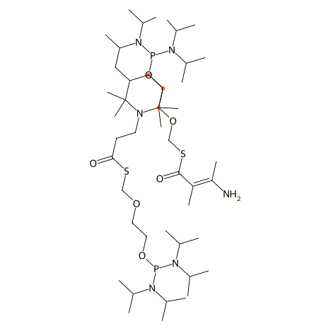 C/C(N)=C(/C)C(=O)SCOCCOP(N(C(C)C)C(C)C)N(C(C)C)C(C)CC1CCC(C)(C)N(CCC(=O)SCOCCOP(N(C(C)C)C(C)C)N(C(C)C)C(C)C)C1(C)C